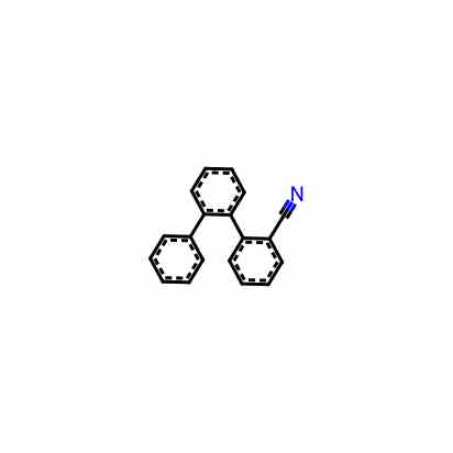 N#Cc1ccccc1-c1ccccc1-c1ccccc1